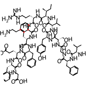 CC[C@H](C)[C@H](NC(=O)[C@@H](NC(=O)[C@H](Cc1ccc(O)cc1)NC(=O)[C@H](CO)NC(=O)CNC(=O)[C@H](Cc1ccccc1)NC(=O)[C@@H](N)C(C)C)C(C)C)C(=O)N[C@@H](CCCNC(=N)N)C(=O)N[C@@H](CCCCN)C(=O)N[C@@H](Cc1ccccc1)C(=O)N[C@@H](Cc1ccccc1)C(=O)N[C@@H](CCC(=O)O)C(=O)N[C@@H](Cc1ccccc1)C(=O)NCC(=O)O